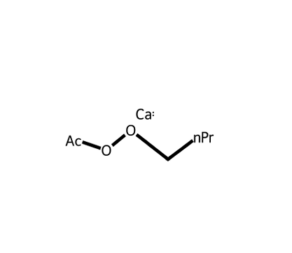 CCCCOOC(C)=O.[Ca]